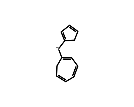 C1=CC=[C]([Ti][C]2=CC=CC2)CC=C1